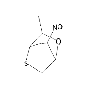 CC1OC2CSC1C2N=O